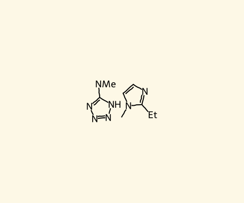 CCc1nccn1C.CNc1nnn[nH]1